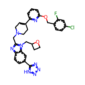 Fc1cc(Cl)ccc1COc1cccc(C2=CCN(Cc3nc4ccc(-c5nnn[nH]5)cc4n3CC3CCO3)CC2)n1